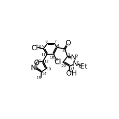 CCn1nc(C(=O)c2ccc(Cl)c(-c3cc(C)no3)c2Cl)cc1O